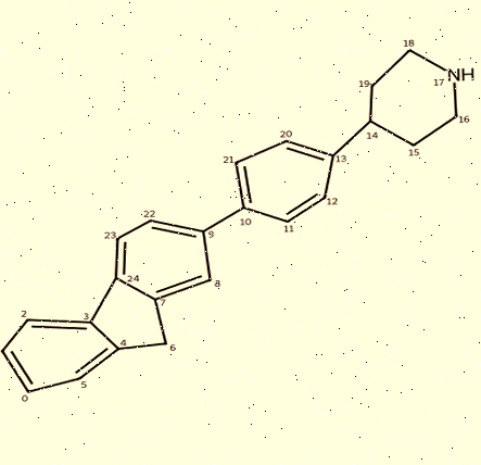 c1ccc2c(c1)Cc1cc(-c3ccc(C4CCNCC4)cc3)ccc1-2